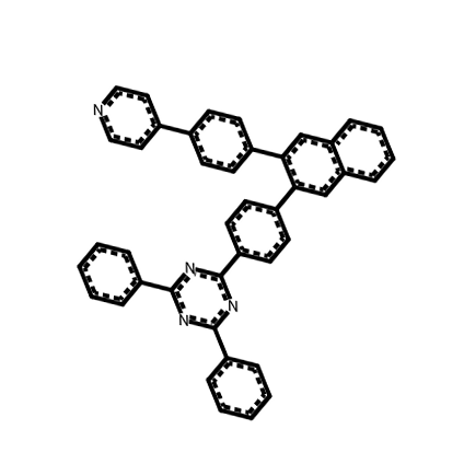 c1ccc(-c2nc(-c3ccccc3)nc(-c3ccc(-c4cc5ccccc5cc4-c4ccc(-c5ccncc5)cc4)cc3)n2)cc1